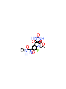 CCNC(=O)c1noc2c(F)c3c(cc12)CC1(C(=O)NC(=O)NC1=O)[C@@H]1[C@@H](C)O[C@@H](C)CN31